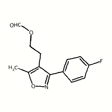 Cc1onc(-c2ccc(F)cc2)c1CCOC=O